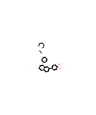 COc1ccc2c(Oc3ccc(OCCN4CCCCC4)cc3)c(-c3ccc(S(=O)(=O)N(C)C(C)(C)C)cc3)ccc2c1